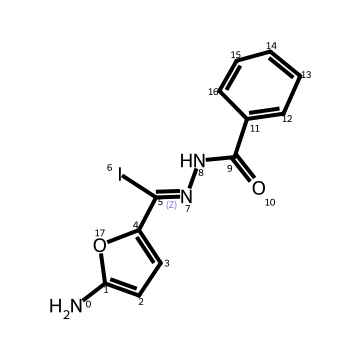 Nc1ccc(/C(I)=N/NC(=O)c2ccccc2)o1